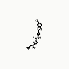 O=C(NC12CC(c3nc4ccc(Cl)cc4s3)(C1)C2)c1ccc([S+]([O-])CC2CC2)o1